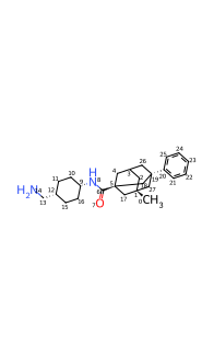 C[C@]12CC3C[C@@](C(=O)N[C@H]4CC[C@@H](CN)CC4)(C1)C[C@@](c1ccccc1)(C3)C2